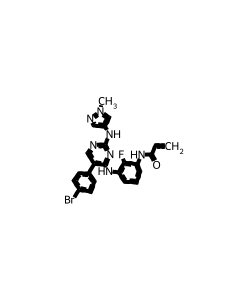 C=CC(=O)Nc1cccc(Nc2nc(Nc3cnn(C)c3)ncc2-c2ccc(Br)cc2)c1F